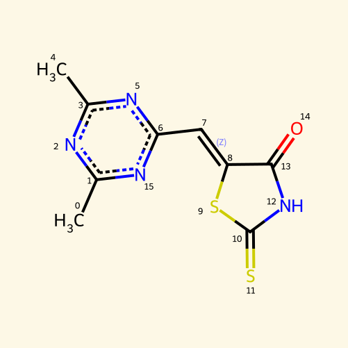 Cc1nc(C)nc(/C=C2\SC(=S)NC2=O)n1